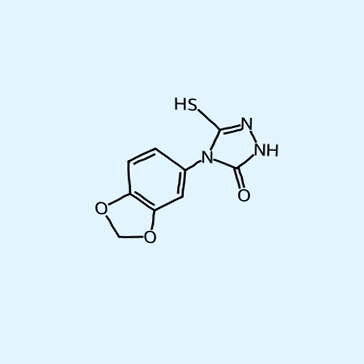 O=c1[nH]nc(S)n1-c1ccc2c(c1)OCO2